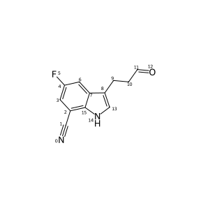 N#Cc1cc(F)cc2c(CCC=O)c[nH]c12